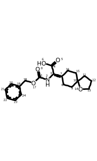 O=C(NC(C(=O)O)=C1CCC2(CCCO2)CC1)OCc1ccccc1